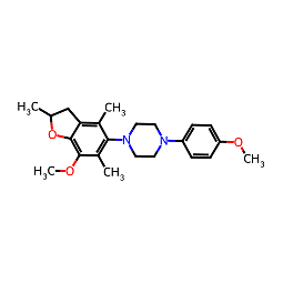 COc1ccc(N2CCN(c3c(C)c4c(c(OC)c3C)OC(C)C4)CC2)cc1